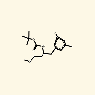 COCC[C@H](Cc1cc(F)cc(F)c1)NC(=O)OC(C)(C)C